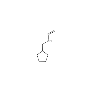 C=NNCC1CCCC1